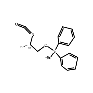 C[C@@H](CO[Si](c1ccccc1)(c1ccccc1)C(C)(C)C)N=C=O